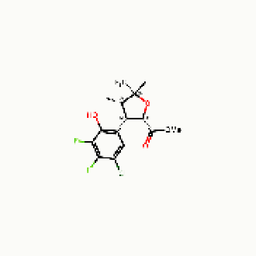 COC(=O)[C@H]1O[C@@](C)(C(F)(F)F)[C@@H](C)[C@H]1c1cc(Cl)c(F)c(F)c1O